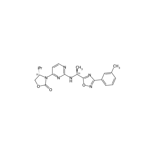 Cc1cccc(-c2noc([C@H](C)Nc3nccc(N4C(=O)OC[C@@H]4C(C)C)n3)n2)c1